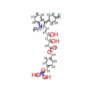 CC(C)n1c(/C=C/[C@@H](O)C[C@@H](O)CC(=O)OCc2ccc(CON(O)O)cc2)c(-c2ccc(F)cc2)c2ccccc21